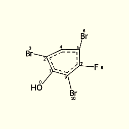 Oc1c(Br)cc(Br)c(F)c1Br